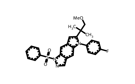 COCC(C)(C)c1cc2cc3c(cnn3S(=O)(=O)c3ccccc3)cc2n1-c1ccc(F)cc1